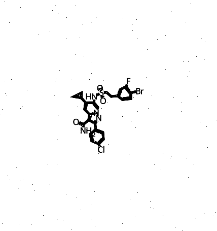 NC(=O)c1c(-c2ccc(Cl)cc2)nn2cc(NS(=O)(=O)CCc3ccc(Br)c(F)c3)c(C3CC3)cc12